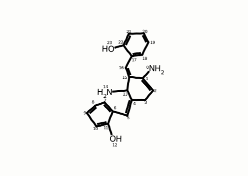 NC1=CCC(=Cc2ccccc2O)C(N)C1=Cc1ccccc1O